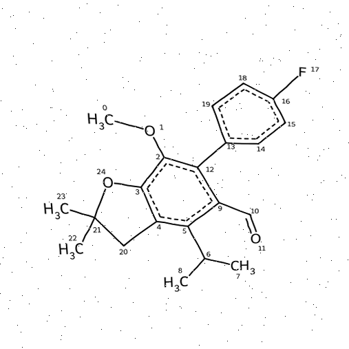 COc1c2c(c(C(C)C)c(C=O)c1-c1ccc(F)cc1)CC(C)(C)O2